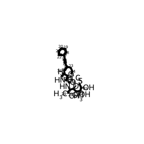 CSC1O[C@H]([C@H](NC(=O)[C@H]2NC[C@@H]3C=C(C#Cc4ccccc4)CCO[C@@H]23)C(C)C)C(O)C(O)[C@H]1O